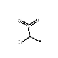 CCC(F)[SH](=O)=O